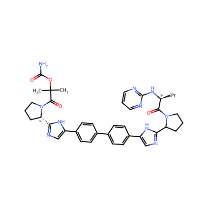 CC(C)[C@H](Nc1ncccn1)C(=O)N1CCCC1c1ncc(-c2ccc(-c3ccc(-c4cnc([C@@H]5CCCN5C(=O)C(C)(C)OC(N)=O)[nH]4)cc3)cc2)[nH]1